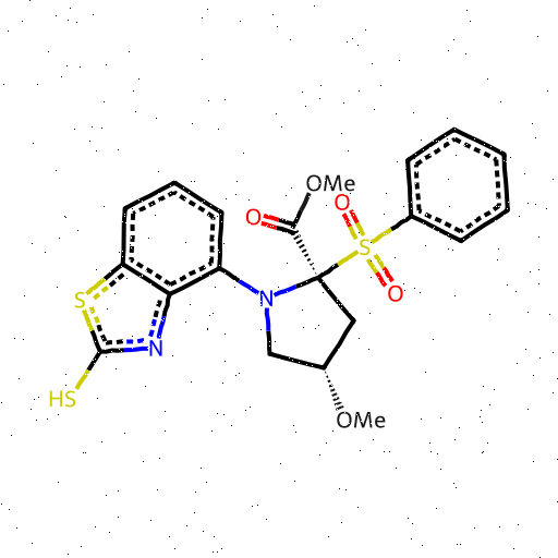 COC(=O)[C@]1(S(=O)(=O)c2ccccc2)C[C@H](OC)CN1c1cccc2sc(S)nc12